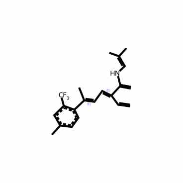 C=C/C(=C\C=C(/C)c1ccc(C)cc1C(F)(F)F)C(=C)NC=C(C)C